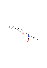 CCCC1CCC(OC(=O)CCCN(CCC)CCO)CC1